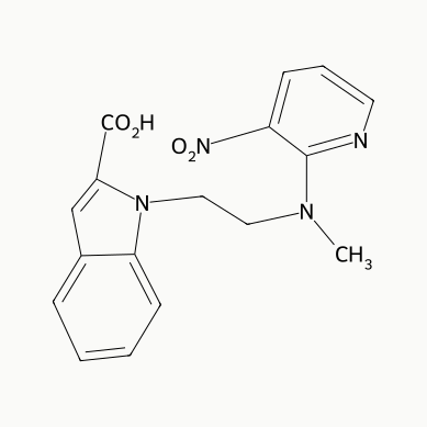 CN(CCn1c(C(=O)O)cc2ccccc21)c1ncccc1[N+](=O)[O-]